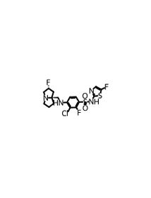 O=S(=O)(Nc1ncc(F)s1)c1ccc(NC[C@@]23CCCN2C[C@H](F)C3)c(Cl)c1F